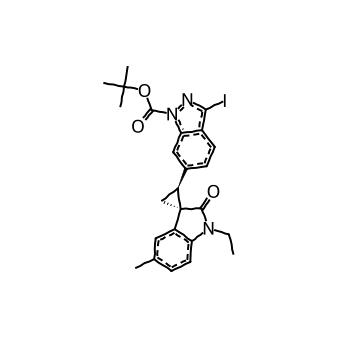 CCN1C(=O)[C@@]2(C[C@H]2c2ccc3c(I)nn(C(=O)OC(C)(C)C)c3c2)c2cc(C)ccc21